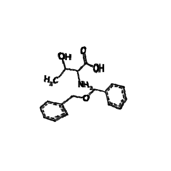 CC(O)C(N)C(=O)O.c1ccc(COCc2ccccc2)cc1